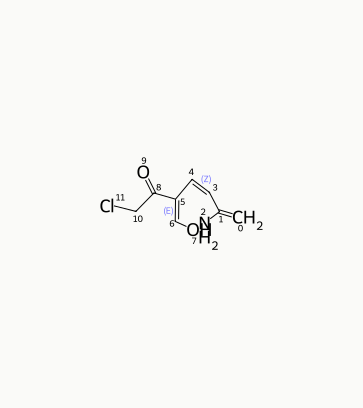 C=C(N)/C=C\C(=C/O)C(=O)CCl